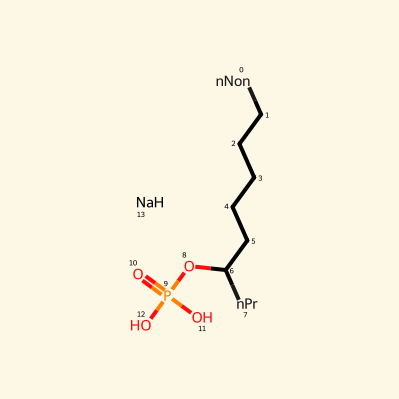 CCCCCCCCCCCCCCC(CCC)OP(=O)(O)O.[NaH]